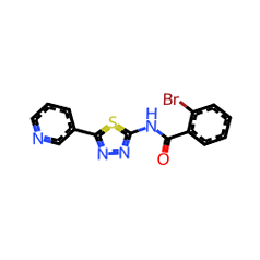 O=C(Nc1nnc(-c2cccnc2)s1)c1ccccc1Br